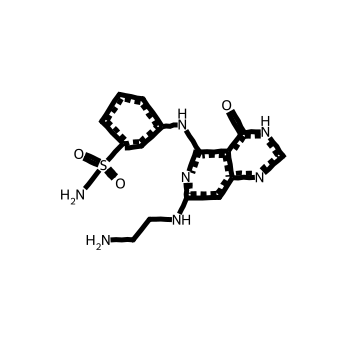 NCCNc1cc2nc[nH]c(=O)c2c(Nc2cccc(S(N)(=O)=O)c2)n1